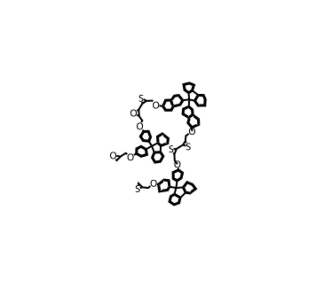 c1ccc2c(c1)-c1ccccc1C2(c1ccc(OCC2CO2)cc1)c1ccc(OCC2OC2C2SC2COc2ccc3cc(C4(c5ccc6cc(OCC7SC7C7SC7COc7ccc(C8(c9ccc(OCC%10CS%10)cc9)c9ccccc9-c9ccccc98)cc7)ccc6c5)c5ccccc5-c5ccccc54)ccc3c2)cc1